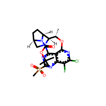 C[C@@H]1Oc2nc(Cl)c(F)c3nc(S(C)(=O)=O)nc(c23)N2C[C@H]3CC[C@@H]([C@@H]12)N3C(=O)OC(C)(C)C